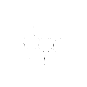 Cc1c(Cl)nc2c(Cl)ccc(F)c2c1Cl